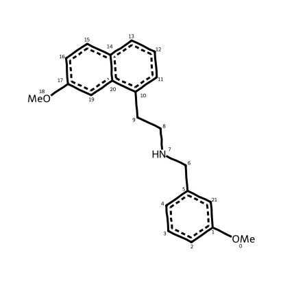 COc1cccc(CNCCc2cccc3ccc(OC)cc23)c1